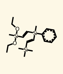 CCO[Si](C)(C=C[Si](C)(C=C[Si](C)(C)C)c1ccccc1)OCC